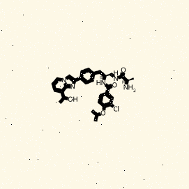 CC(C)Oc1ccc(C(=O)N[C@H](CNC(=O)[C@@H](C)N)Cc2ccc(-c3cn4cccc(C(C)O)c4n3)cc2)cc1Cl